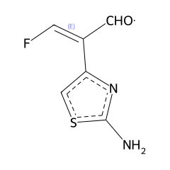 Nc1nc(/C([C]=O)=C\F)cs1